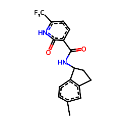 Cc1ccc2c(c1)CCC2NC(=O)c1ccc(C(F)(F)F)[nH]c1=O